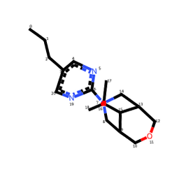 CCCc1cnc(N2CC3COCC(C2)C3C(C)C)nc1